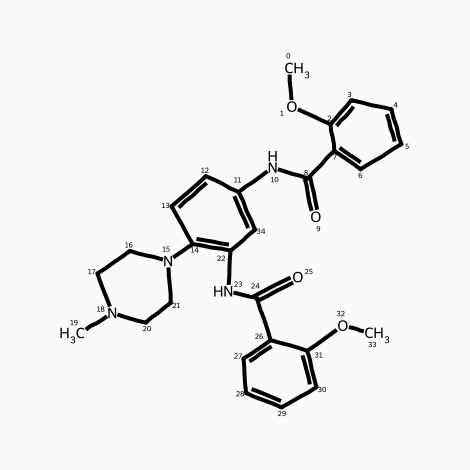 COc1ccccc1C(=O)Nc1ccc(N2CCN(C)CC2)c(NC(=O)c2ccccc2OC)c1